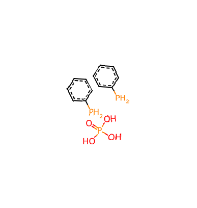 O=P(O)(O)O.Pc1ccccc1.Pc1ccccc1